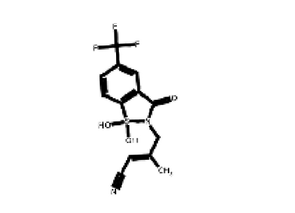 CC(=CC#N)CN1C(=O)c2cc(C(F)(F)F)ccc2S1(O)O